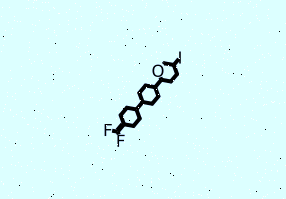 FC(F)=C1CCC(C2CCC(C3CCC(I)CO3)CC2)CC1